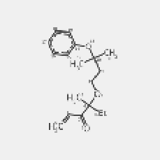 C=CC(=O)C(C)(CC)OCCC(C)(C)Oc1ccccc1